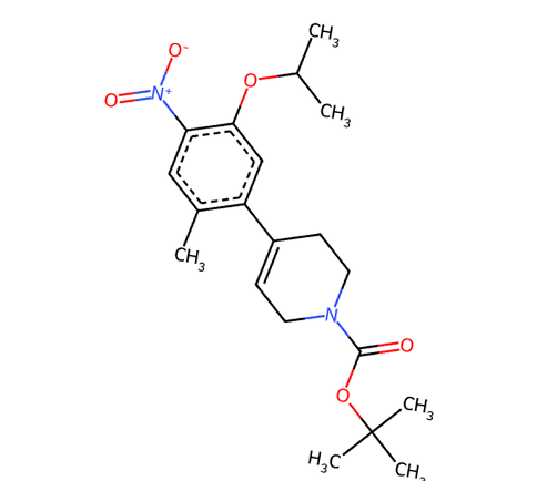 Cc1cc([N+](=O)[O-])c(OC(C)C)cc1C1=CCN(C(=O)OC(C)(C)C)CC1